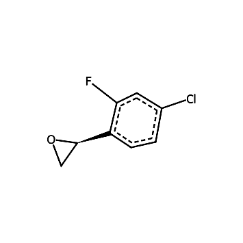 Fc1cc(Cl)ccc1[C@H]1CO1